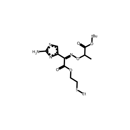 CCSCCOC(=O)/C(=N\OC(C)C(=O)OC(C)(C)C)c1csc(N)n1